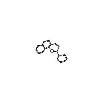 C1=CC(c2ccccc2)Oc2c1ccc1ccccc21